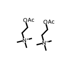 CC(=O)OCC[N+](C)(C)C.CC(=O)OCC[N+](C)(C)C